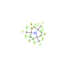 FC(F)(F)C(N(C(C(F)(F)F)(C(F)(F)F)C(F)(F)F)C(C(F)(F)F)(C(F)(F)F)C(F)(F)F)(C(F)(F)F)C(F)(F)F